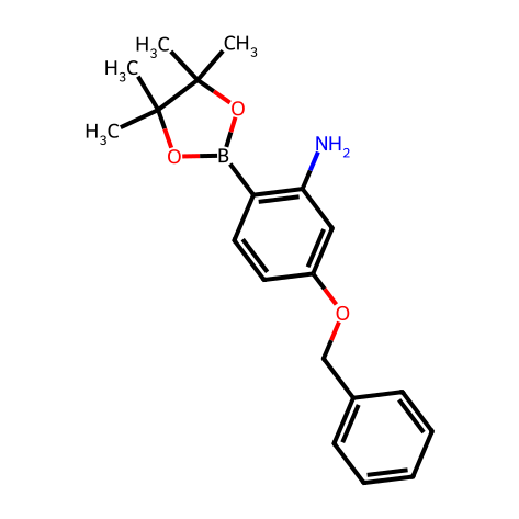 CC1(C)OB(c2ccc(OCc3ccccc3)cc2N)OC1(C)C